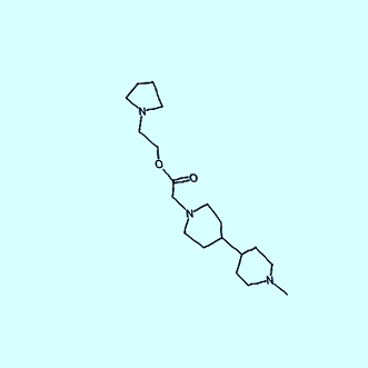 CN1CCC(C2CCN(CC(=O)OCCN3CCCC3)CC2)CC1